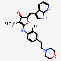 CCOC(=O)C1=C(Nc2ccc(CCN3CCOCC3)cc2C)OC(=Cc2c[nH]c3ncccc23)C1=O